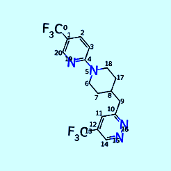 FC(F)(F)c1ccc(N2CCC(Cc3cc(C(F)(F)F)cnn3)CC2)nc1